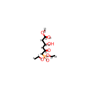 CCOP(=O)(CC(=O)C[C@H](O)CC(=O)OC)OCC